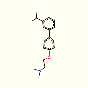 CC(C)c1cccc(-c2ccc(OCCN(C)C)cc2)c1